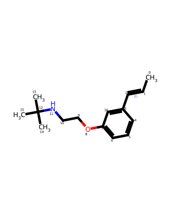 C/C=C/c1cccc(OCCNC(C)(C)C)c1